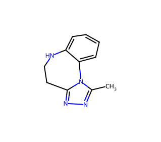 Cc1nnc2n1-c1ccccc1NCC2